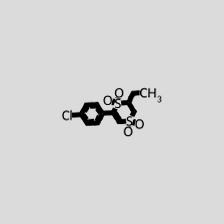 CCC1CS(=O)(=O)C=C(c2ccc(Cl)cc2)S1(=O)=O